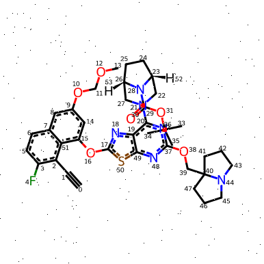 C#Cc1c(F)ccc2cc(OCOC)cc(Oc3nc4c(N5C[C@H]6CC[C@@H](C5)N6C(=O)OC(C)(C)C)nc(OCC56CCCN5CCC6)nc4s3)c12